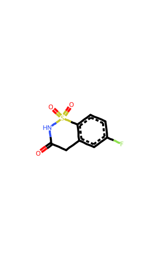 O=C1Cc2cc(F)ccc2S(=O)(=O)N1